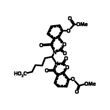 COC(=O)Oc1cccc2c(=O)n(C(CCCCC(=O)O)n3c(=O)oc4c(OC(=O)OC)cccc4c3=O)c(=O)oc12